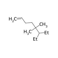 C=CCCC(C)(C)C(CC)CC